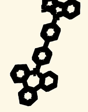 C1=CC2=C(CC1)N(c1ccc(-c3ccc(-n4c5ccccc5c5ccsc54)cc3)cc1)c1ccccc1-c1ccccc12